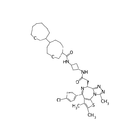 Cc1sc2c(c1C)C(c1ccc(Cl)cc1)=N[C@@H](CC(=O)NC1CC(NC(=O)C3CCCCC(C4CCCCCCCC4)CCC3)C1)c1nnc(C)n1-2